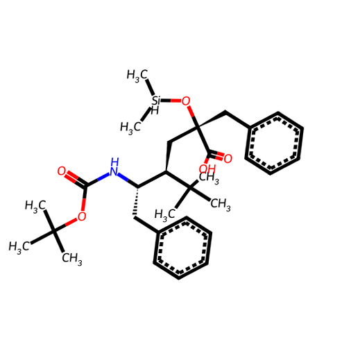 C[SiH](C)O[C@@](Cc1ccccc1)(C[C@H]([C@H](Cc1ccccc1)NC(=O)OC(C)(C)C)C(C)(C)C)C(=O)O